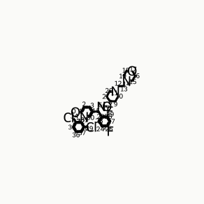 O=c1ccc(C(=NOC2CCN(CCN3CCOCC3)CC2)c2ccc(F)cc2F)cn1-c1c(Cl)cccc1Cl